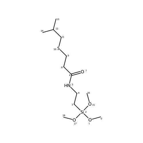 CO[Si](CCNC(=O)CCSCC(C)C)(OC)OC